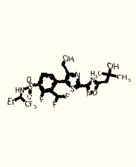 CCC(NS(=O)(=O)c1ccc(-c2sc(-c3noc(CC(C)(C)O)n3)nc2CO)c(C(F)F)c1F)C(F)(F)F